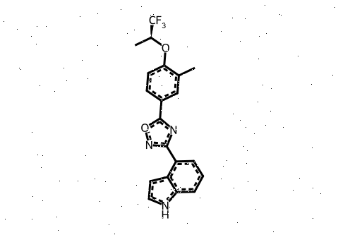 Cc1cc(-c2nc(-c3cccc4[nH]ccc34)no2)ccc1O[C@@H](C)C(F)(F)F